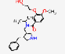 COc1ccc(C(=O)N(C[C@H]2CNC[C@@H]2Cc2ccccc2)C(C)C)cc1OCCCO